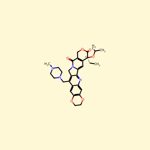 CC[C@@]1(OC(C)C)C(=O)OCc2c1cc1n(c2=O)Cc2c-1nc1cc3c(cc1c2CN1CCN(C)CC1)OCCO3